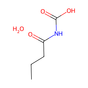 CCCC(=O)NC(=O)O.O